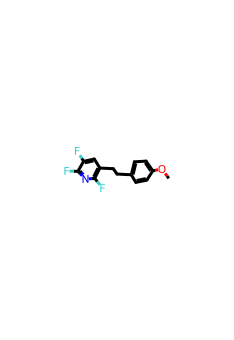 COc1ccc(CCc2cc(F)c(F)nc2F)cc1